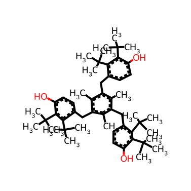 Cc1c(Cc2ccc(O)c(C(C)(C)C)c2C(C)(C)C)c(C)c(Cc2ccc(O)c(C(C)(C)C)c2C(C)(C)C)c(C)c1Cc1ccc(O)c(C(C)(C)C)c1C(C)(C)C